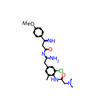 COc1ccc(C(=N)CC(=O)/N=C(\N)Cc2cc(C)c(NC(=O)CN(C)C)c(Cl)c2)cc1